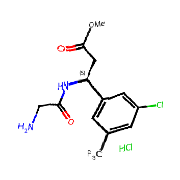 COC(=O)C[C@H](NC(=O)CN)c1cc(Cl)cc(C(F)(F)F)c1.Cl